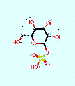 O=S(=O)(O)OC1O[C@H](CO)[C@@H](O)[C@H](O)[C@@H]1O